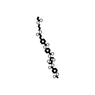 C=CC(=O)OCCCCOC(=O)/C=C/c1ccc(C(=O)Oc2ccc(C(=O)O[C@@H]3COC4C3OC[C@H]4OC(=O)c3ccc(OC(C)=O)cc3)cc2)cc1